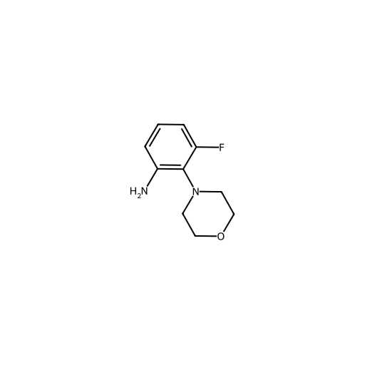 Nc1cccc(F)c1N1CCOCC1